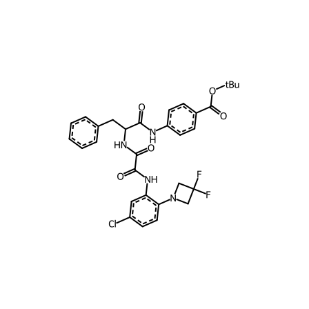 CC(C)(C)OC(=O)c1ccc(NC(=O)C(Cc2ccccc2)NC(=O)C(=O)Nc2cc(Cl)ccc2N2CC(F)(F)C2)cc1